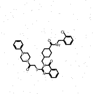 O=C(NCc1ccccc1Cl)C1CCC(Cn2c(SCC(=O)N3CCN(c4ccccc4)CC3)nc3ccccc3c2=O)CC1